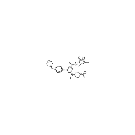 CCN(c1cc(C(=O)NCc2c(C)cc(C)[nH]c2=O)cc(-c2ccc(CN3CCOCC3)cc2)c1)C1CCN(C(C)=O)CC1